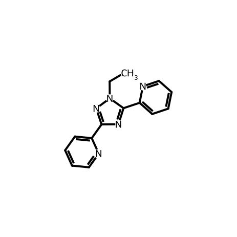 CCn1nc(-c2ccccn2)nc1-c1ccccn1